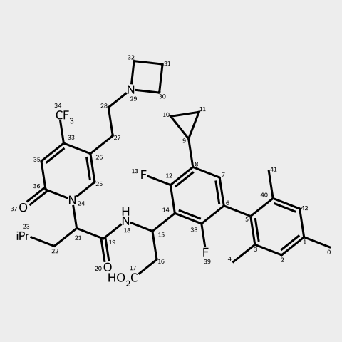 Cc1cc(C)c(-c2cc(C3CC3)c(F)c(C(CC(=O)O)NC(=O)C(CC(C)C)n3cc(CCN4CCC4)c(C(F)(F)F)cc3=O)c2F)c(C)c1